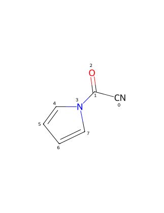 N#CC(=O)n1cccc1